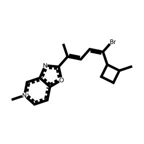 C/C(=C\C=C(\Br)C1CCC1C)c1nc2c[n+](C)ccc2o1